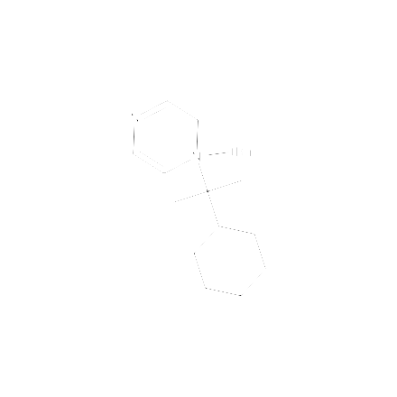 CC(C)(C)[N+]1(C(C)(C)C2CCCCC2)C=CN=CC1